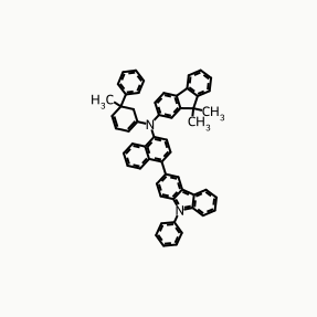 CC1(c2ccccc2)C=CC=C(N(c2ccc3c(c2)C(C)(C)c2ccccc2-3)c2ccc(-c3ccc4c(c3)c3ccccc3n4-c3ccccc3)c3ccccc23)C1